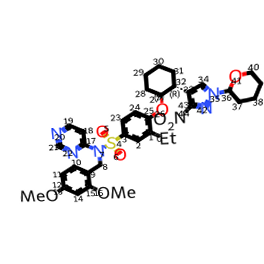 CCc1cc(S(=O)(=O)N(Cc2ccc(OC)cc2OC)c2ccncn2)ccc1O[C@H]1CCCC[C@@H]1c1cn(C2CCCCO2)nc1[N+](=O)[O-]